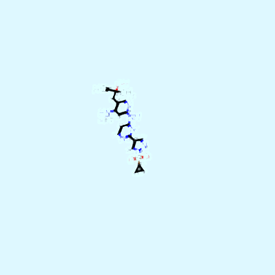 C#CC(C)(O)Cc1cnc(Nc2ccnc(-c3cnn(S(=O)(=O)C4CC4)c3)n2)cc1NC(C)C